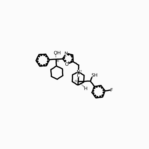 O[C@](c1ccccc1)(c1ncc(C[N+]23CCC(CC2)[C@H](C(S)c2cccc(F)c2)C3)o1)C1CCCCC1